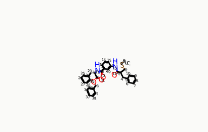 CC(=O)SCC(Cc1ccccc1)C(=O)Nc1cccc(C(=O)N[C@@H](Cc2ccccc2)C(=O)OCc2ccccc2)c1